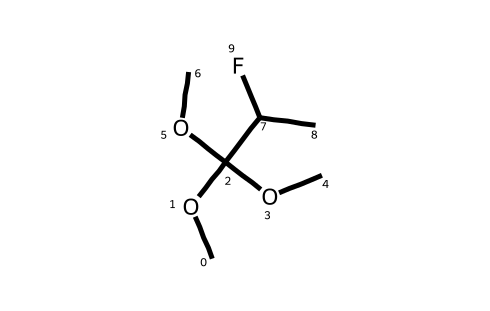 COC(OC)(OC)C(C)F